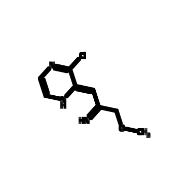 COCC(=N)/C=C1\NC=CN=C1Cl